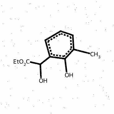 CCOC(=O)C(O)c1cccc(C)c1O